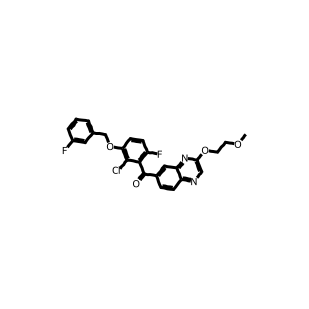 COCCOc1cnc2ccc(C(=O)c3c(F)ccc(OCc4cccc(F)c4)c3Cl)cc2n1